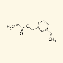 C=CC(=O)OCc1cccc(C=C)c1